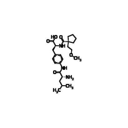 COCCC1(C(=O)N[C@@H](Cc2ccc(NC(=O)[C@H](N)CC(C)C)cc2)C(=O)O)CCCC1